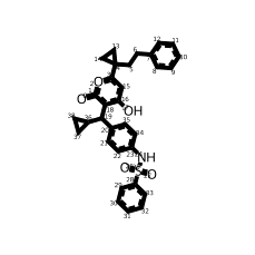 O=c1oc(C2(CCc3ccccc3)CC2)cc(O)c1C(c1ccc(NS(=O)(=O)c2ccccc2)cc1)C1CC1